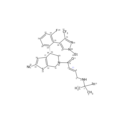 [2H]C(C)(C)NC/C=C/C(=O)N1Cc2sc(C#N)cc2[C@H](c2cccc(F)c2-c2cn(CC)nc2C(F)(F)F)C1